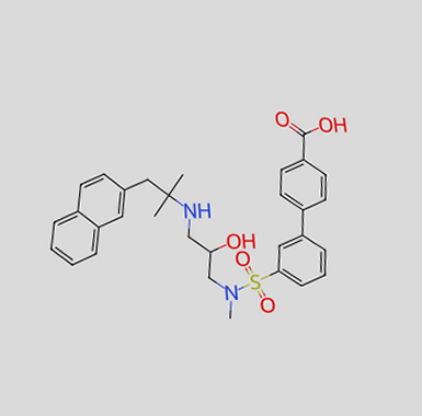 CN(CC(O)CNC(C)(C)Cc1ccc2ccccc2c1)S(=O)(=O)c1cccc(-c2ccc(C(=O)O)cc2)c1